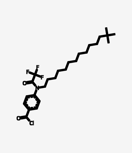 CC(C)(C)CCCCCCCCCCCCN(C(=O)C(F)(F)F)c1ccc(C(=O)Cl)cc1